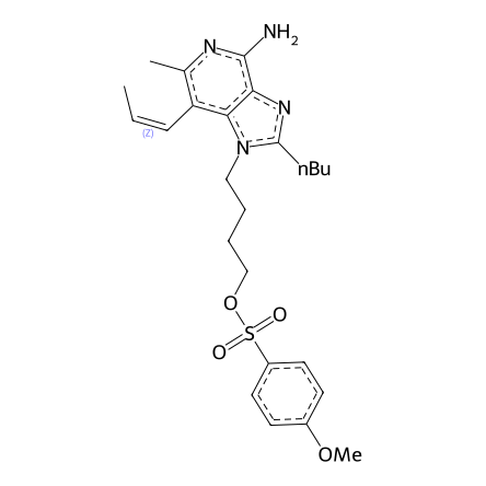 C/C=C\c1c(C)nc(N)c2nc(CCCC)n(CCCCOS(=O)(=O)c3ccc(OC)cc3)c12